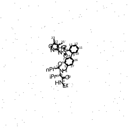 CCCC(=O)N(Cc1ccc(-c2ccccc2S(=O)(=O)Nc2noc(C)c2C)cc1)[C@H](C(=O)NCC)C(C)C